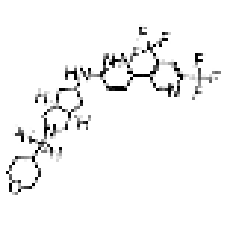 [2H]C([2H])(C1CCOCC1)N1C[C@H]2CC(Nc3ccc(-c4cnc(C(F)(F)F)cc4C(F)(F)F)nn3)C[C@H]2C1